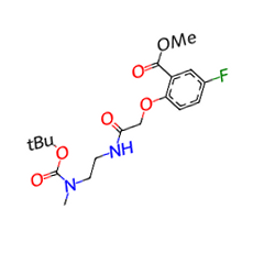 COC(=O)c1cc(F)ccc1OCC(=O)NCCN(C)C(=O)OC(C)(C)C